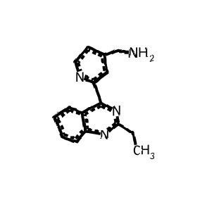 CCc1nc(-c2cc(CN)ccn2)c2ccccc2n1